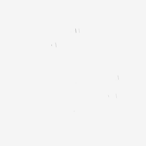 CCC(CC)C(c1ccc(O)c(Cl)c1)c1ccc(O)c(Cl)c1